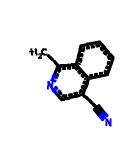 [CH2]c1ncc(C#N)c2ccccc12